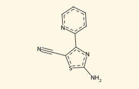 N#Cc1sc(N)nc1-c1ccccn1